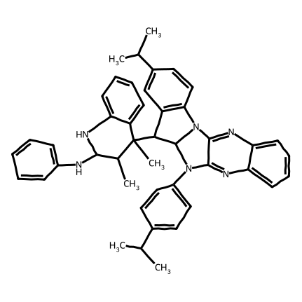 CC(C)c1ccc(N2c3nc4ccccc4nc3N3c4ccc(C(C)C)cc4C(C4(C)c5ccccc5NC(Nc5ccccc5)C4C)C23)cc1